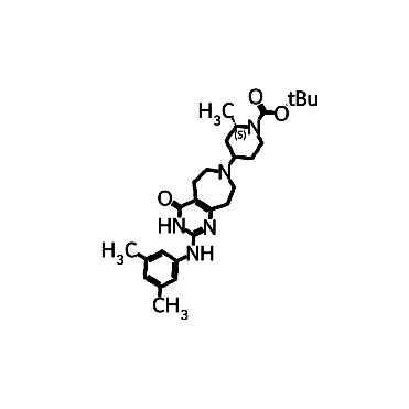 Cc1cc(C)cc(Nc2nc3c(c(=O)[nH]2)CCN(C2CCN(C(=O)OC(C)(C)C)[C@@H](C)C2)CC3)c1